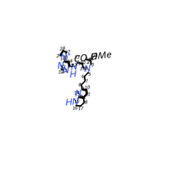 CO[C@H](C)CN(CCCCc1ccc2c(n1)NCCC2)CCC(Nc1cc([N+]2=CC=C2)ncn1)C(=O)O